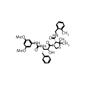 COc1cc(NC(=O)N[C@@H](Cc2ccccc2)[C@H](O)C(=O)N2CSC(C)(C)[C@H]2C(=O)NCc2ccccc2C)cc(OC)c1